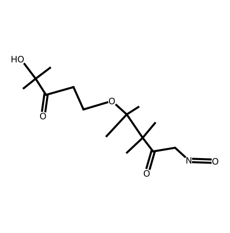 CC(C)(O)C(=O)CCOC(C)(C)C(C)(C)C(=O)CN=O